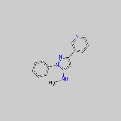 CNc1cc(-c2cccnc2)nn1-c1ccccc1